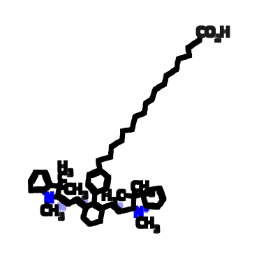 CN1/C(=C/C=C2\CCCC(/C=C/C3=[N+](C)c4ccccc4C3(C)C)=C2c2ccc(CCCCCCCCCCCCCCCCCCC(=O)O)cc2)C(C)(C)c2ccccc21